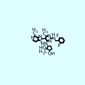 Cc1nc(NCc2c(F)cccc2F)nc(N[C@@H]2CC[C@@H](O)[C@@]2(C)O)c1-c1nc2c(C)nccc2s1